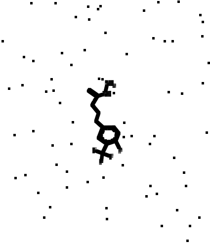 C=C(CCCc1ccc(F)c(C(F)(F)F)c1)NN